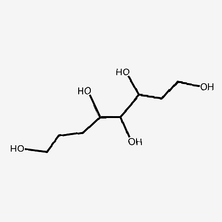 OCCCC(O)C(O)C(O)CCO